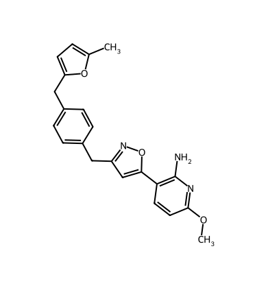 COc1ccc(-c2cc(Cc3ccc(Cc4ccc(C)o4)cc3)no2)c(N)n1